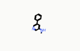 CNc1cncc(-c2ccccc2)c1